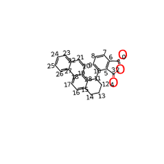 O=C1OC(=O)c2c1cccc2C1CCCc2ccc3c(ccc4ccccc43)c21